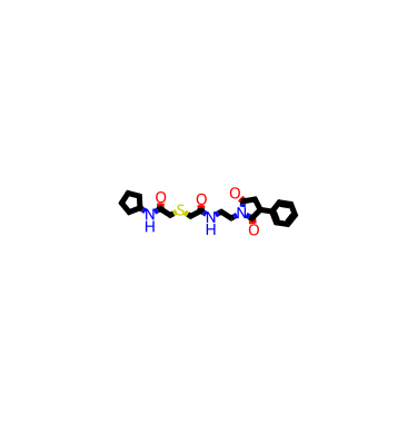 O=C(CSCC(=O)NC1CCCC1)NCCN1C(=O)CC(c2ccccc2)C1=O